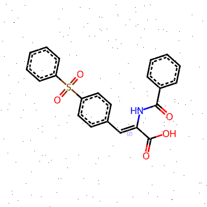 O=C(O)/C(=C/c1ccc(S(=O)(=O)c2ccccc2)cc1)NC(=O)c1ccccc1